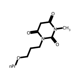 CCCOCCCN1C(=O)CC(=O)N(C)C1=O